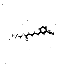 CCOC(=O)CCCCc1cccc(C#N)c1